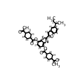 CCC(C)c1ccc2oc(-c3nc4c(OC(=O)C5CCC(C(C)=O)CC5)ccc(OC(=O)C5CCC(C(C)=O)CC5)c4s3)cc2c1